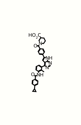 Cc1c(NC(=O)c2ccc(C3CC3)cc2)cccc1-c1ncnc2[nH]c(-c3ccc(C(=O)N4CCCC(C(=O)O)C4)cc3)cc12